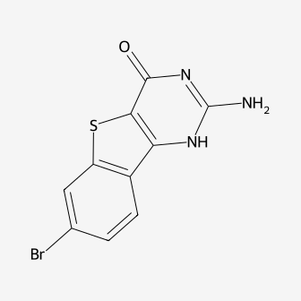 Nc1nc(=O)c2sc3cc(Br)ccc3c2[nH]1